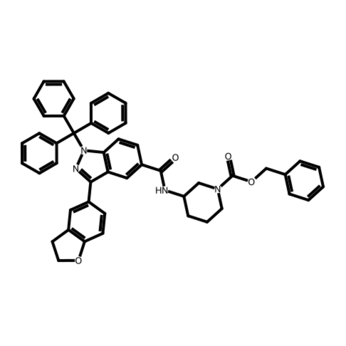 O=C(NC1CCCN(C(=O)OCc2ccccc2)C1)c1ccc2c(c1)c(-c1ccc3c(c1)CCO3)nn2C(c1ccccc1)(c1ccccc1)c1ccccc1